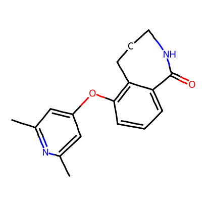 Cc1cc(Oc2cccc3c2CCCNC3=O)cc(C)n1